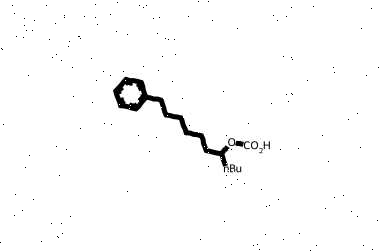 CCCCC(CCCCCCc1ccccc1)OC(=O)O